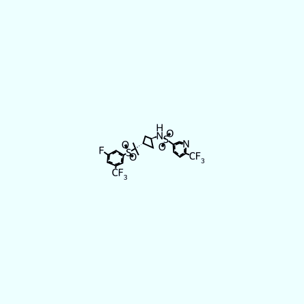 CC(C)([C@H]1C[C@H](NS(=O)(=O)c2ccc(C(F)(F)F)nc2)C1)S(=O)(=O)c1cc(F)cc(C(F)(F)F)c1